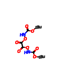 CC(C)(C)OC(=O)NOC(=O)C(=O)ONC(=O)OC(C)(C)C